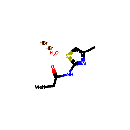 Br.Br.CNCC(=O)Nc1nc(C)cs1.O